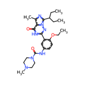 CCOc1ccc(NC(=O)N2CCN(C)CC2)cc1-c1nn2c(C(CC)CC)nc(C)c2c(=O)[nH]1